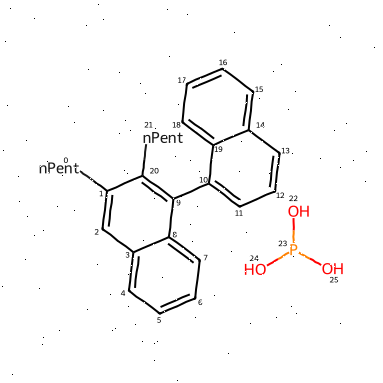 CCCCCc1cc2ccccc2c(-c2cccc3ccccc23)c1CCCCC.OP(O)O